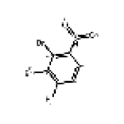 O=[SH](=O)c1ccc(Br)c(Br)c1Br